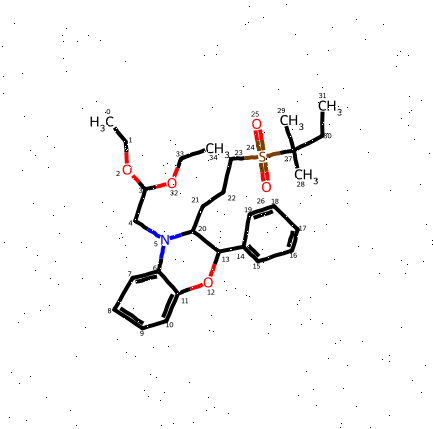 CCOC(CN1c2ccccc2OC(c2ccccc2)C1CCCS(=O)(=O)C(C)(C)CC)OCC